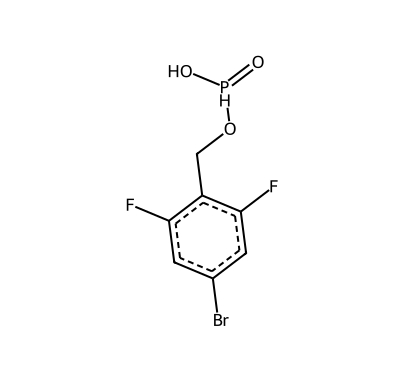 O=[PH](O)OCc1c(F)cc(Br)cc1F